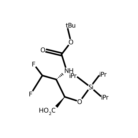 CC(C)[Si](O[C@@H](C(=O)O)[C@@H](NC(=O)OC(C)(C)C)C(F)F)(C(C)C)C(C)C